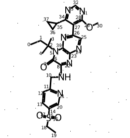 CCC(C)(C)n1c(=O)c(NCc2ccc(S(=O)(=O)CC)cn2)nc2ncc(-c3c(OC)ncnc3C3CC3)nc21